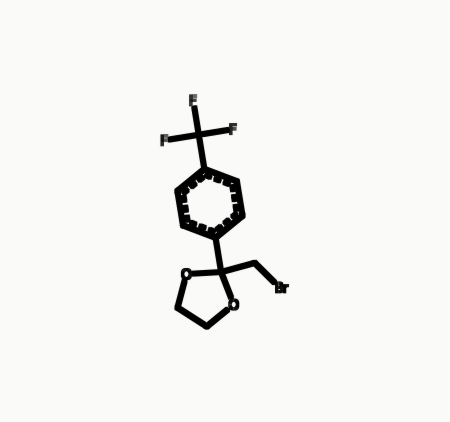 FC(F)(F)c1ccc(C2(CBr)OCCO2)cc1